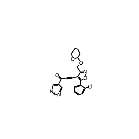 O=C(C#Cc1c(COC2CCCCO2)noc1-c1ccccc1Cl)c1cncnc1